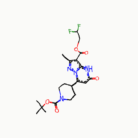 Cc1nn2c(C3CCN(C(=O)OC(C)(C)C)CC3)cc(=O)[nH]c2c1C(=O)OCC(F)F